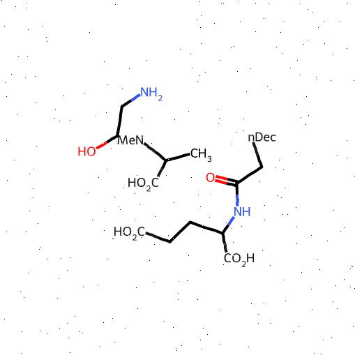 CCCCCCCCCCCC(=O)NC(CCC(=O)O)C(=O)O.CNC(C)C(=O)O.NCCO